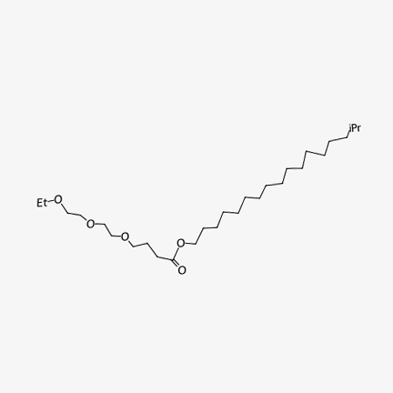 CCOCCOCCOCCCC(=O)OCCCCCCCCCCCCCCCC(C)C